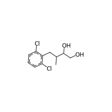 CC(Cc1c(Cl)cccc1Cl)C(O)CO